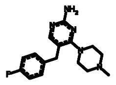 CN1CCN(c2nc(N)ncc2Cc2ccc(F)cc2)CC1